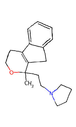 CC1(CCN2CCCC2)OCCC2=C1Cc1ccccc12